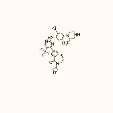 CC1CNCCN1c1ccc(Nc2ncc(C(F)(F)F)c(-c3cc4c(s3)C(=O)N(C3COC3)CCS4)n2)c(C2CC2)c1